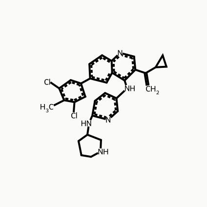 C=C(c1cnc2ccc(-c3cc(Cl)c(C)c(Cl)c3)cc2c1Nc1ccc(NC2CCCNC2)nc1)C1CC1